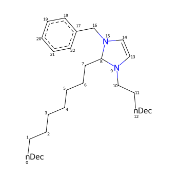 CCCCCCCCCCCCCCCCCC1N(CCCCCCCCCCCC)C=CN1Cc1ccccc1